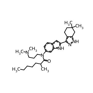 CCCCCC(C)C(=O)N(CCCN(C)C)c1ccc2cc(-c3n[nH]c4c3CCC(C)(C)C4)[nH]c2c1